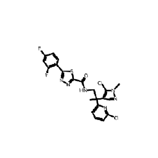 Cn1ncc(C(C)(CNC(=O)c2nnc(-c3ccc(F)cc3F)s2)c2cccc(Cl)n2)c1Cl